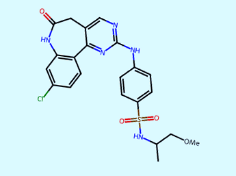 COCC(C)NS(=O)(=O)c1ccc(Nc2ncc3c(n2)-c2ccc(Cl)cc2NC(=O)C3)cc1